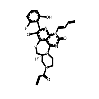 C=C/C=C/n1c(=O)nc2c3c(c(Cl)c(-c4c(O)cccc4F)nc31)OC[C@@H]1CN(C(=O)C=C)CCN21